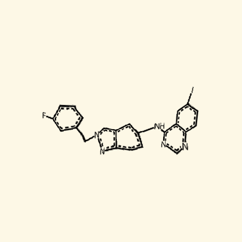 Fc1cccc(Cn2cc3cc(Nc4ncnc5ccc(I)cc45)ccc3n2)c1